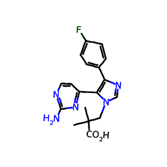 CC(C)(Cn1cnc(-c2ccc(F)cc2)c1-c1ccnc(N)n1)C(=O)O